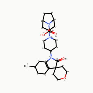 CC1CCC2=C(C1)N(C1CCN(C3CC4CCC(C3)N4C(=O)O)CC1)C(=O)C21CCOCC1